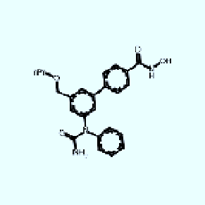 CCCOCc1cc(-c2ccc(C(=O)NO)cc2)cc(N(C(N)=O)c2ccccc2)c1